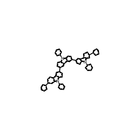 c1ccc(-c2ccc3c4cc(-c5ccc6c(c5)c5cc(-c7ccc8c(c7)c7ccc(-c9ccccc9)cc7n8-c7ccccc7)ccc5n6-c5ccccc5)ccc4n(-c4ccccc4)c3c2)cc1